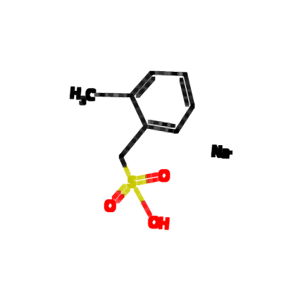 Cc1ccccc1CS(=O)(=O)O.[Na]